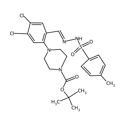 Cc1ccc(S(=O)(=O)N/N=C/c2cc(Cl)c(Cl)cc2N2CCN(C(=O)OC(C)(C)C)CC2)cc1